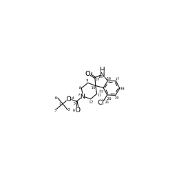 CC(C)(C)OC(=O)N1CCC2(CC1)C(=O)Nc1cccc(Cl)c12